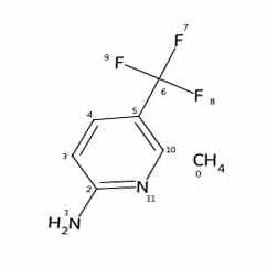 C.Nc1ccc(C(F)(F)F)cn1